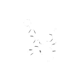 CCOC(=O)Nc1csc(C(=O)OC)c1COc1nc(-c2ccc(N3CCOCC3)cc2)cc(-c2ccoc2)c1C#N